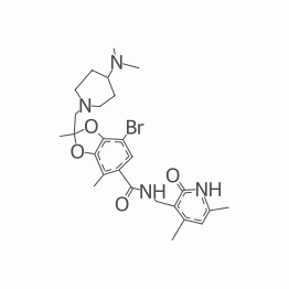 Cc1cc(C)c(CNC(=O)c2cc(Br)c3c(c2C)OC(C)(CN2CCC(N(C)C)CC2)O3)c(=O)[nH]1